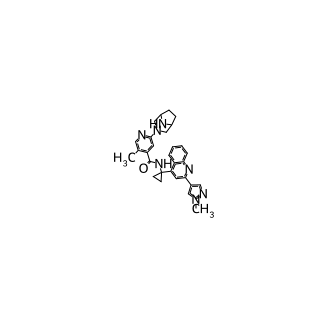 Cc1cnc(N2CC3CCC(C2)N3)cc1C(=O)NC1(c2cc(-c3cnn(C)c3)nc3ccccc23)CC1